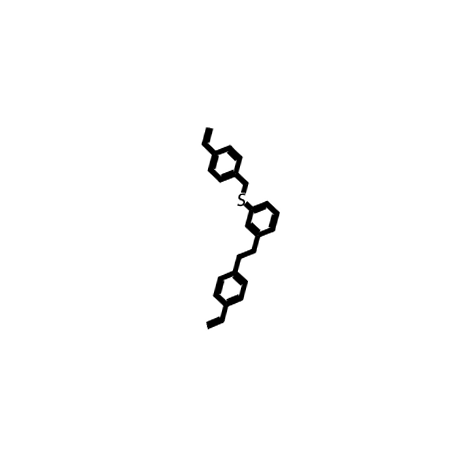 C=Cc1ccc(CCc2cccc(SCc3ccc(C=C)cc3)c2)cc1